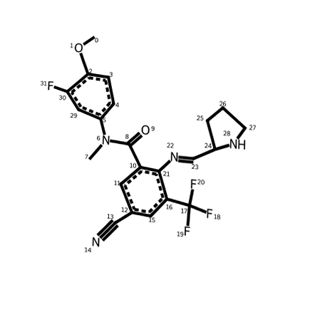 COc1ccc(N(C)C(=O)c2cc(C#N)cc(C(F)(F)F)c2/N=C/C2CCCN2)cc1F